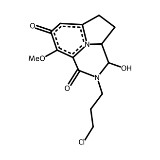 COc1c2n3c(cc1=O)CCC3C(O)N(CCCCl)C2=O